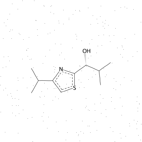 CC(C)c1csc([C@H](O)C(C)C)n1